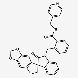 O=C(NCc1ccncc1)c1ccccc1CN1C(=O)C2(COc3cc4c(cc32)OCO4)c2ccccc21